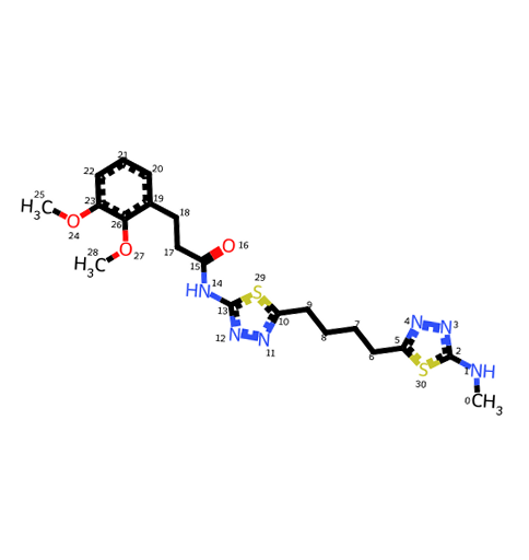 CNc1nnc(CCCCc2nnc(NC(=O)CCc3cccc(OC)c3OC)s2)s1